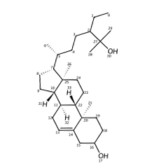 CCC(CC[C@@H](C)[C@H]1CC[C@H]2[C@@H]3CC=C4CC(O)CC[C@]4(C)[C@H]3CC[C@]12C)C(C)(C)O